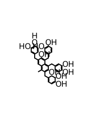 Cc1c(CC2=CC=C(O)C(O)C2)c(O)c(Cc2ccc(O)c(O)c2)c2c(Cc3ccc(O)c(O)c3)c(O)c(Cc3ccc(O)c(O)c3)cc12